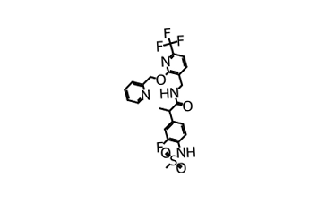 CC(C(=O)NCc1ccc(C(F)(F)F)nc1OCc1ccccn1)c1ccc(NS(C)(=O)=O)c(F)c1